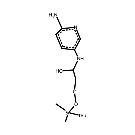 CC(C)(C)[Si](C)(C)OCCC(O)Nc1ccc(N)nc1